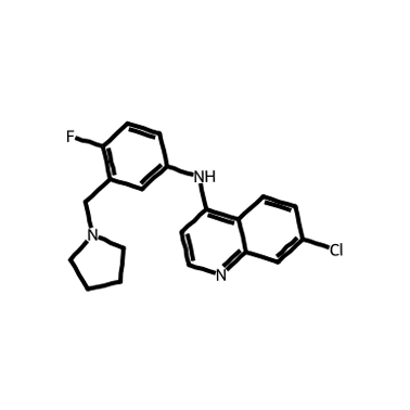 Fc1ccc(Nc2ccnc3cc(Cl)ccc23)cc1CN1CCCC1